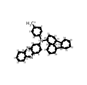 Cc1ccc(N(c2ccc3nc4ccccc4nc3c2)c2ccc3c4c(cccc24)-c2ccccc2-3)cc1